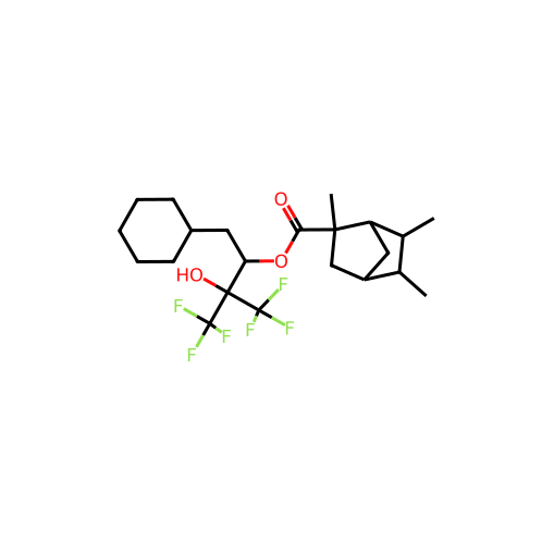 CC1C2CC(C1C)C(C)(C(=O)OC(CC1CCCCC1)C(O)(C(F)(F)F)C(F)(F)F)C2